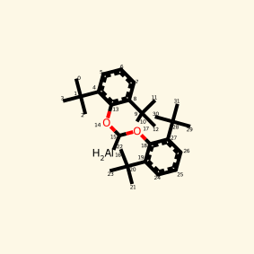 CC(C)(C)c1cccc(C(C)(C)C)c1O[CH]([AlH2])Oc1c(C(C)(C)C)cccc1C(C)(C)C